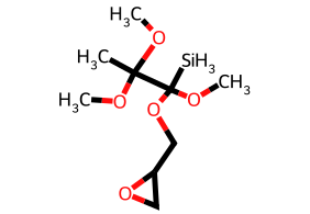 COC(C)(OC)C([SiH3])(OC)OCC1CO1